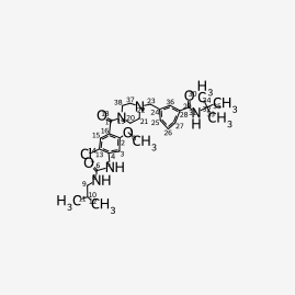 COc1cc(NC(=O)NCC(C)C)c(Cl)cc1C(=O)N1CCN(Cc2cccc(C(=O)NC(C)(C)C)c2)CC1